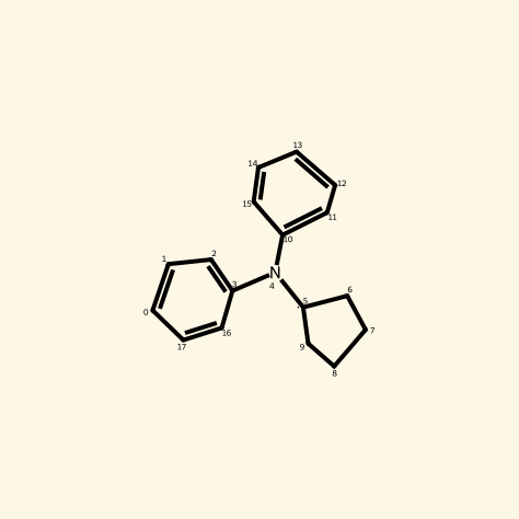 c1ccc(N([C]2CCCC2)c2ccccc2)cc1